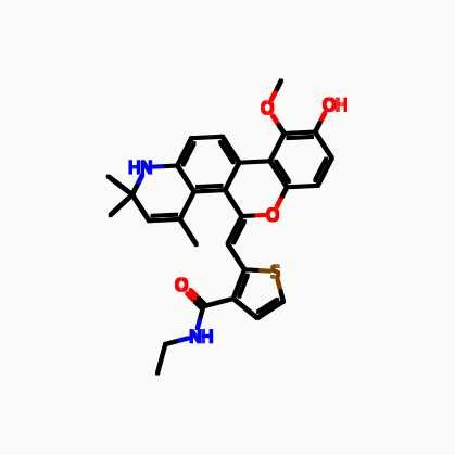 CCNC(=O)c1ccsc1/C=C1\Oc2ccc(O)c(OC)c2-c2ccc3c(c21)C(C)=CC(C)(C)N3